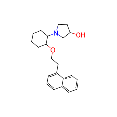 OC1CCN(C2CCCCC2OCCc2cccc3ccccc23)C1